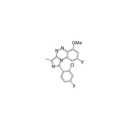 COc1cc(F)cc2c1nnc1c(C)nc(-c3ccc(F)cc3Cl)n12